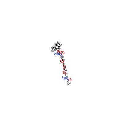 CCCC(=O)NCCCOCCOCCOCCCNC(=O)OCC1c2ccccc2-c2ccccc21